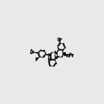 CCCN(CCc1ccccc1)c1ccc(Br)cc1NCNc1ccc(C2CC2)c(F)c1